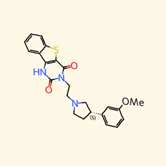 COc1cccc([C@@H]2CCN(CCn3c(=O)[nH]c4c(sc5ccccc54)c3=O)C2)c1